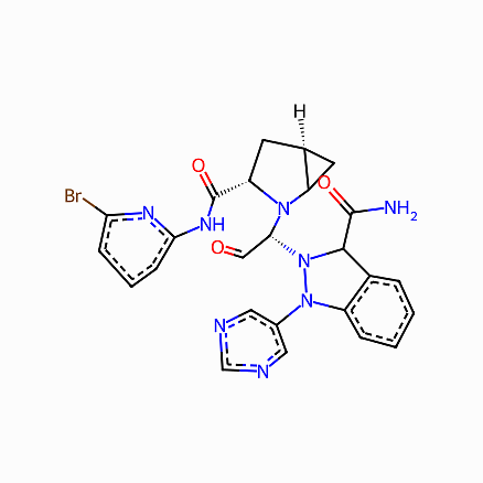 NC(=O)C1c2ccccc2N(c2cncnc2)N1[C@H](C=O)N1C2C[C@@H]2C[C@H]1C(=O)Nc1cccc(Br)n1